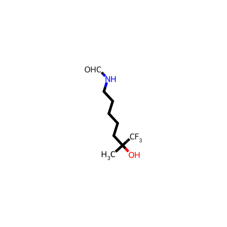 CC(O)(CCCCCNC=O)C(F)(F)F